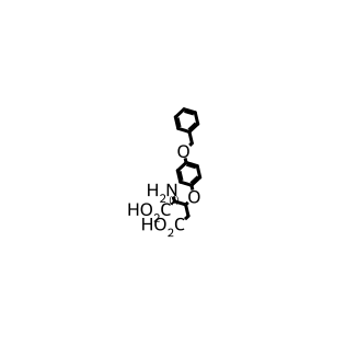 N[C@H](C(=O)O)C(CC(=O)O)Oc1ccc(OCc2ccccc2)cc1